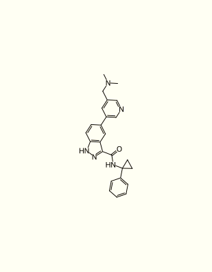 CN(C)Cc1cncc(-c2ccc3[nH]nc(C(=O)NC4(c5ccccc5)CC4)c3c2)c1